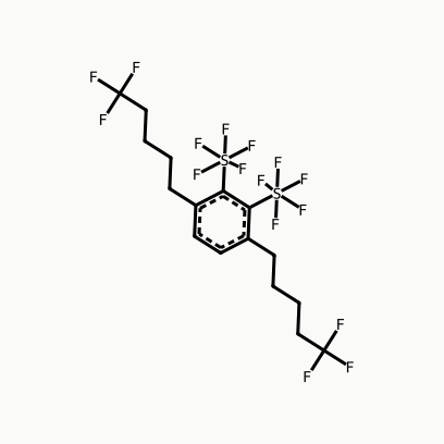 FC(F)(F)CCCCc1ccc(CCCCC(F)(F)F)c(S(F)(F)(F)(F)F)c1S(F)(F)(F)(F)F